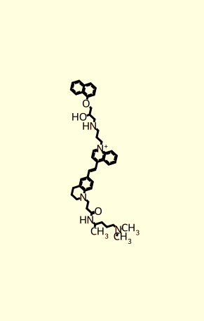 CC(CCCN(C)C)NC(=O)CCN1CCCc2cc(C=Cc3cc[n+](CCCNCC(O)COc4cccc5ccccc45)c4ccccc34)ccc21